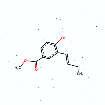 CC/C=C/c1cc(C(=O)OC)ccc1O